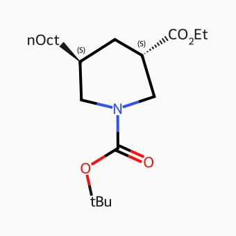 CCCCCCCC[C@H]1C[C@H](C(=O)OCC)CN(C(=O)OC(C)(C)C)C1